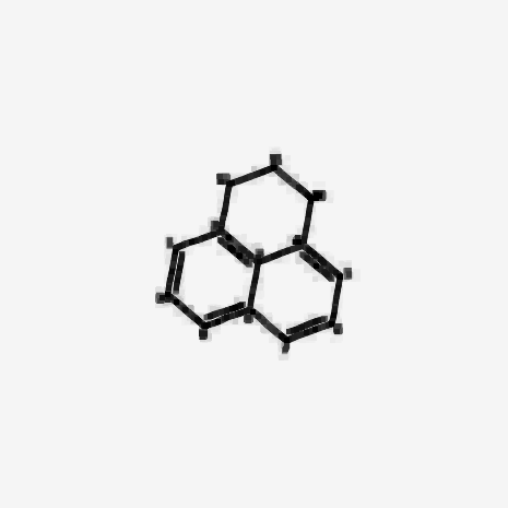 [c]1cc2c3c(cccc3c1)CCC2